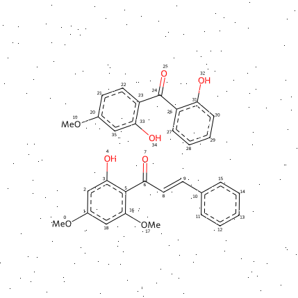 COc1cc(O)c(C(=O)C=Cc2ccccc2)c(OC)c1.COc1ccc(C(=O)c2ccccc2O)c(O)c1